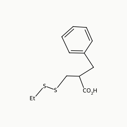 CCSSCC(Cc1ccccc1)C(=O)O